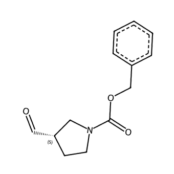 O=C[C@H]1CCN(C(=O)OCc2ccccc2)C1